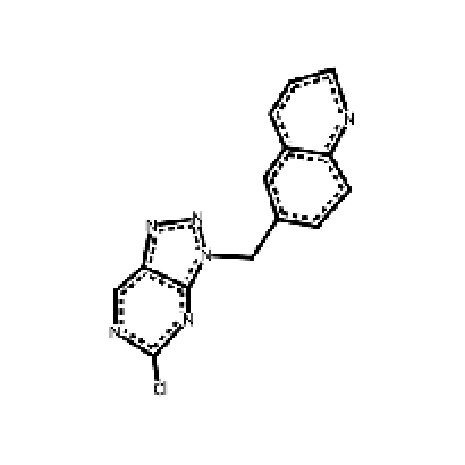 Clc1ncc2nnn(Cc3ccc4ncccc4c3)c2n1